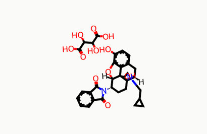 O=C(O)C(O)C(O)C(=O)O.O=C1c2ccccc2C(=O)N1[C@H]1CC[C@@]2(O)[C@H]3Cc4ccc(O)c5c4[C@@]2(CCN3CC2CC2)[C@H]1O5